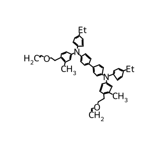 C=COCCc1ccc(N(c2ccc(CC)cc2)c2ccc(-c3ccc(N(c4ccc(CC)cc4)c4ccc(CCOC=C)c(C)c4)cc3)cc2)cc1C